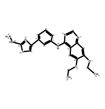 CCOc1cc2ncnc(Nc3cccc(-c4csc(NN)n4)c3)c2cc1OCC